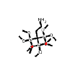 CO[Si](OC)(OC)C(CCN)([Si](OC)(OC)OC)[Si](OC)(OC)OC